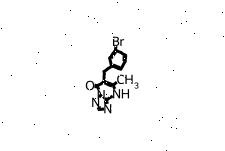 Cc1[nH]c2ncnn2c(=O)c1Cc1cccc(Br)c1